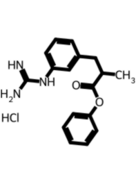 CC(Cc1cccc(NC(=N)N)c1)C(=O)Oc1ccccc1.Cl